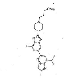 COCCCN1CCC(n2nc3cc(-c4cc(C(F)F)c5nc(C)cn5n4)cc(F)c3n2)CC1